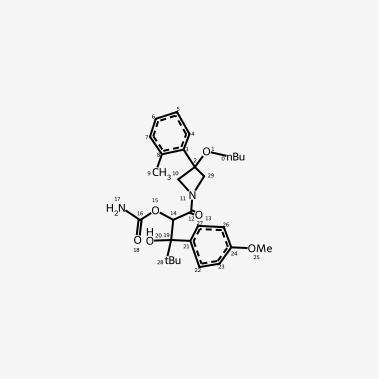 CCCCOC1(c2ccccc2C)CN(C(=O)C(OC(N)=O)C(O)(c2ccc(OC)cc2)C(C)(C)C)C1